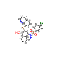 O=S(=O)(Nc1cc(Sc2cccc3cccnc23)c(O)c2ccccc12)c1ccc(Br)cc1